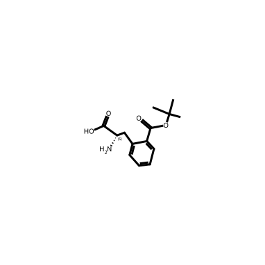 CC(C)(C)OC(=O)c1ccccc1C[C@H](N)C(=O)O